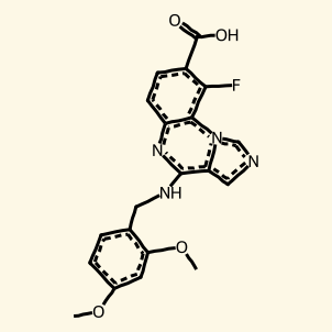 COc1ccc(CNc2nc3ccc(C(=O)O)c(F)c3n3cncc23)c(OC)c1